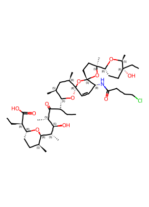 CCC(C(=O)[C@@H](C)[C@@H](O)[C@H](C)[C@@H]1O[C@@H]([C@@H](CC)C(=O)O)CC[C@@H]1C)[C@H]1O[C@]2(C=C[C@@H](NC(=O)CCCCl)[C@]3(CC[C@@](C)([C@H]4CC[C@](O)(CC)[C@H](C)O4)O3)O2)[C@H](C)C[C@@H]1C